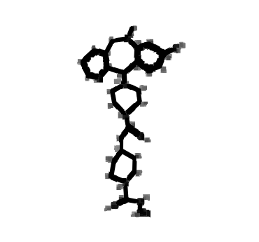 CN1Cc2cccnc2C(N2CCN(C(=O)CC3CCN(C(=O)OC(C)(C)C)CC3)CC2)c2ccc(Cl)cc21